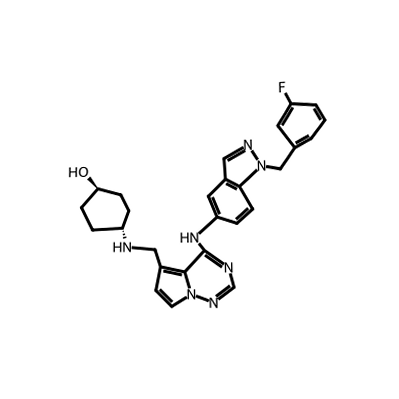 O[C@H]1CC[C@H](NCc2ccn3ncnc(Nc4ccc5c(cnn5Cc5cccc(F)c5)c4)c23)CC1